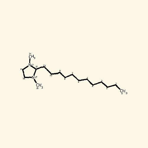 CCCCCCCCCCCCC1N(C)CCN1C